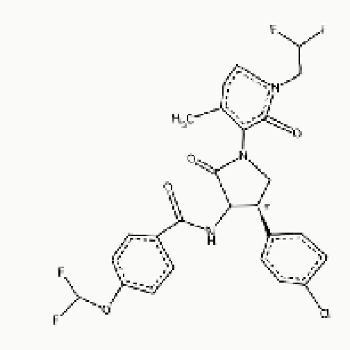 Cc1ccn(CC(F)F)c(=O)c1N1C[C@@H](c2ccc(Cl)cc2)C(NC(=O)c2ccc(OC(F)F)cc2)C1=O